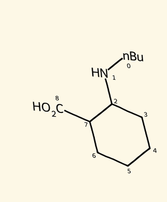 CCCCNC1CCCCC1C(=O)O